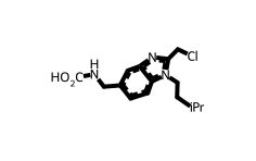 CC(C)CCn1c(CCl)nc2cc(CNC(=O)O)ccc21